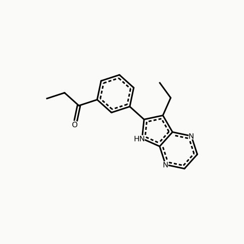 CCC(=O)c1cccc(-c2[nH]c3nccnc3c2CC)c1